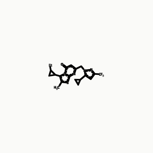 CCC1CC1c1c(C)sc2nc(Cn3nc(C(F)(F)F)cc3C3CC3)cc(=O)n12